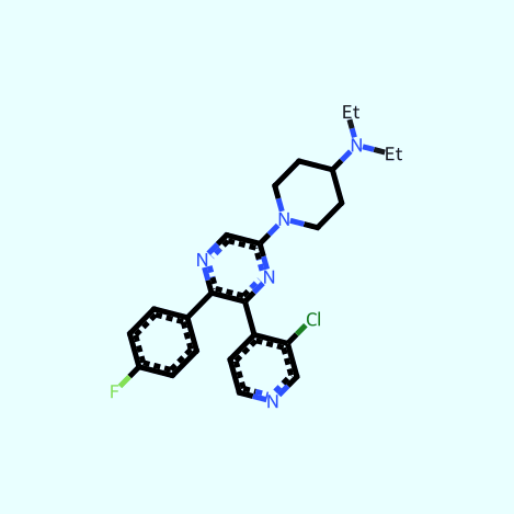 CCN(CC)C1CCN(c2cnc(-c3ccc(F)cc3)c(-c3ccncc3Cl)n2)CC1